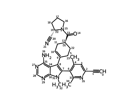 C#Cc1cc(C)c(-c2c(C3=CC[C@@H](C(=O)N4CCC[C@H]4C#N)CC3)c3c(N)ncnc3n2C)c(C)n1